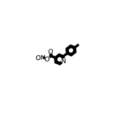 Cc1ccc(-c2cc(C(=O)ON=O)ccn2)cc1